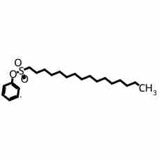 CCCCCCCCCCCCCCCCS(=O)(=O)Oc1c[c]ccc1